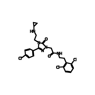 O=C(Cn1nc(-c2ccc(Cl)cc2)n(CCNC2CC2)c1=O)NCCc1c(Cl)cccc1Cl